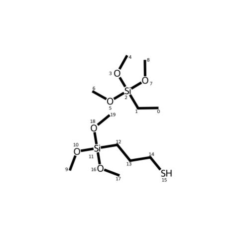 CC[Si](OC)(OC)OC.CO[Si](CCCS)(OC)OC